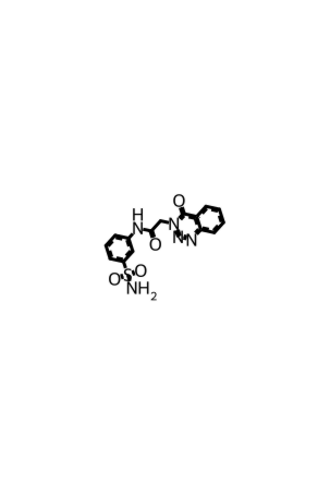 NS(=O)(=O)c1cccc(NC(=O)Cn2nnc3ccccc3c2=O)c1